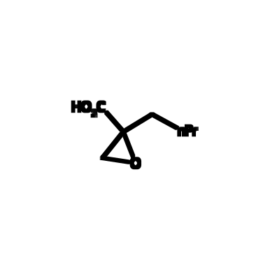 [CH2]CCCC1(C(=O)O)CO1